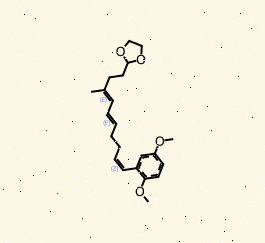 COc1ccc(OC)c(/C=C\CC/C=C/C=C(\C)CCC2OCCO2)c1